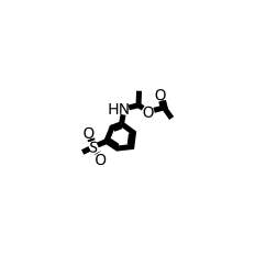 CC(=O)OC(C)Nc1cccc(S(C)(=O)=O)c1